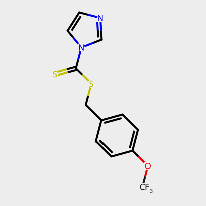 FC(F)(F)Oc1ccc(CSC(=S)n2ccnc2)cc1